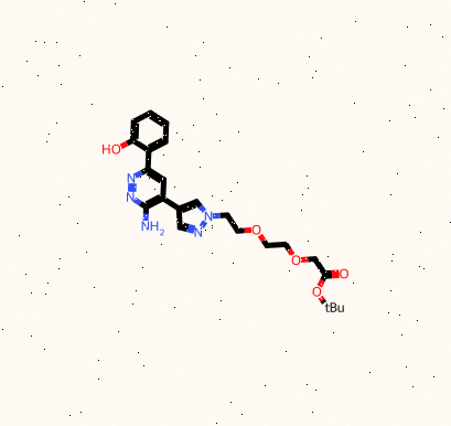 CC(C)(C)OC(=O)COCCOCCn1cc(-c2cc(-c3ccccc3O)nnc2N)cn1